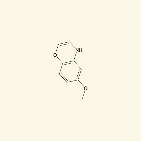 COc1ccc2c(c1)NC=CO2